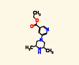 CCOC(=O)c1cncc(N2CC(C)NC(C)C2)c1